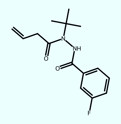 C=CCC(=O)N(NC(=O)c1cccc(F)c1)C(C)(C)C